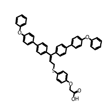 O=C(O)COc1ccc(SCC=C(c2ccc(-c3ccc(Oc4ccccc4)cc3)cc2)c2ccc(-c3ccc(Oc4ccccc4)cc3)cc2)cc1